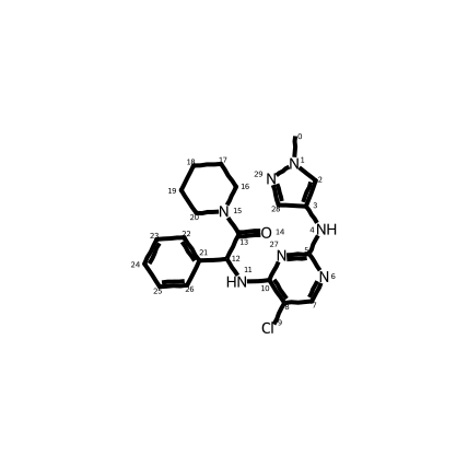 Cn1cc(Nc2ncc(Cl)c(NC(C(=O)N3CCCCC3)c3ccccc3)n2)cn1